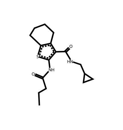 CCCC(=O)Nc1sc2c(c1C(=O)NCC1CC1)CCCC2